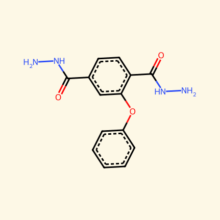 NNC(=O)c1ccc(C(=O)NN)c(Oc2ccccc2)c1